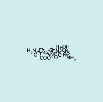 Cc1c(C(N)=O)ccc[n+]1CC1=C(C(=O)[O-])N2C(=O)[C@@H](NC(=O)C(=NO)c3nsc(N)n3)[C@@H]2SC1